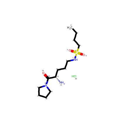 CCCCS(=O)(=O)NCCC[C@H](N)C(=O)N1CCCC1.Cl